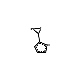 c1c[nH]c(C2NO2)c1